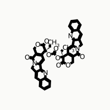 CC[C@@]1(OC(=O)O[C@]2(CC)C(=O)OCc3c2cc2n(c3=O)Cc3cc4ccccc4nc3-2)C(=O)OCc2c1cc1n(c2=O)Cc2cc3ccccc3nc2-1